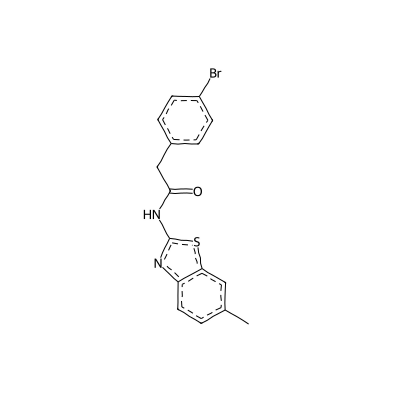 Cc1ccc2nc(NC(=O)Cc3ccc(Br)cc3)sc2c1